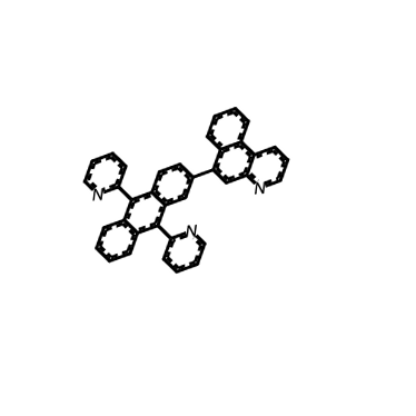 c1ccc(-c2c3ccccc3c(-c3ccccn3)c3cc(-c4cc5ncccc5c5ccccc45)ccc23)nc1